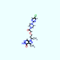 Cc1nn(C(C)CCOCC(=O)N2CCN(c3ncc(Cl)cn3)CC2)c2cn[nH]c(=O)c12